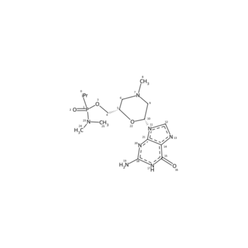 CC(C)P(=O)(OC[C@@H]1CN(C)C[C@H](n2cnc3c(=O)[nH]c(N)nc32)O1)N(C)C